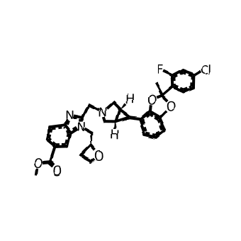 COC(=O)c1ccc2nc(CN3C[C@@H]4C(c5cccc6c5OC(C)(c5ccc(Cl)cc5F)O6)[C@@H]4C3)n(C[C@@H]3CCO3)c2c1